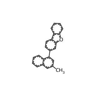 Cc1cc(-c2ccc3c(c2)oc2ccccc23)c2ccccc2c1